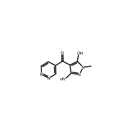 CCCc1nn(C)c(O)c1C(=O)c1ccnnc1